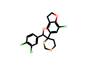 OC(c1ccc(F)c(Br)c1)C1(c2cc(Cl)c3c(c2)CCO3)CCSCS1